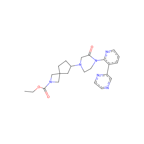 CCOC(=O)N1CC2(CCC(N3CCN(c4ncccc4-c4cnccn4)C(=O)C3)C2)C1